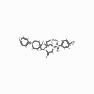 COCC12CN(S(=O)(=O)c3ccc(Br)cc3)CC(=O)N1CC1(CCN(c3ccncc3)CC1)O2